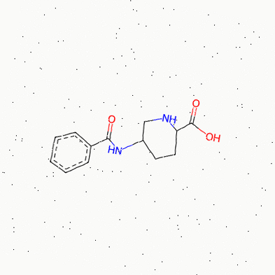 O=C(NC1CCC(C(=O)O)NC1)c1ccccc1